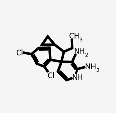 CCC(C1CC1)C1(c2ccc(Cl)cc2Cl)C=CNC(N)=C1N